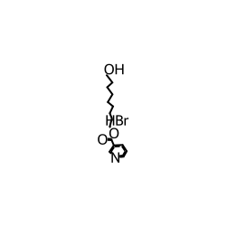 Br.O=C(OCCCCCCCCCO)c1cccnc1